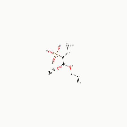 C=CCOC(=O)C(CC(=O)[O-])S(=O)(=O)[O-].[Na+].[Na+]